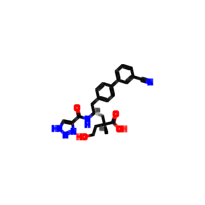 C[C@@](CCO)(C[C@@H](Cc1ccc(-c2cccc(C#N)c2)cc1)NC(=O)c1c[nH]nn1)C(=O)O